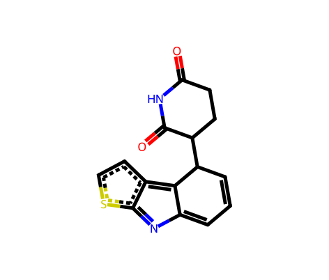 O=C1CCC(C2C=CC=C3N=c4sccc4=C32)C(=O)N1